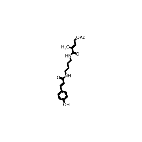 CC(=O)OC/C=C(\C)C(=O)NCCCCNC(=O)/C=C/c1ccc(O)cc1